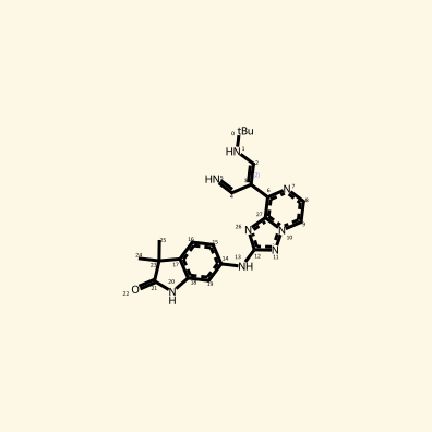 CC(C)(C)N/C=C(\C=N)c1nccn2nc(Nc3ccc4c(c3)NC(=O)C4(C)C)nc12